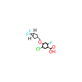 O=C(O)c1cc(Cl)c(OC[C@H]2C[C@@H]3[C@H](C2)C3(F)F)cc1F